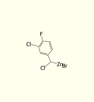 Fc1ccc([CH](Cl)[Zn][Br])cc1Cl